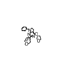 c1ccc(N2CCc3c(OC4CCOC4)nc(N4CCOCC4)nc32)cc1